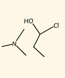 CCC(O)Cl.CN(C)C